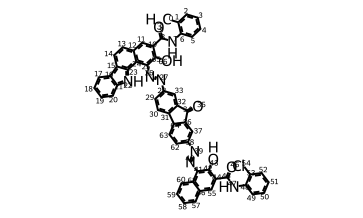 Cc1ccccc1NC(=O)c1cc2ccc3c4ccccc4[nH]c3c2c(N=Nc2ccc3c(c2)C(=O)c2cc(N=Nc4c(O)c(C(=O)Nc5ccccc5Cl)cc5ccccc45)ccc2-3)c1O